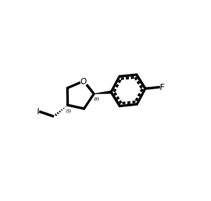 Fc1ccc([C@H]2C[C@H](CI)CO2)cc1